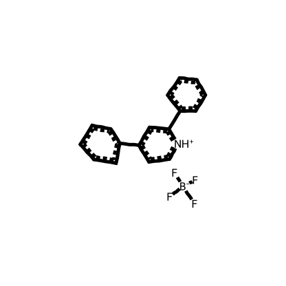 F[B-](F)(F)F.c1ccc(-c2cc[nH+]c(-c3ccccc3)c2)cc1